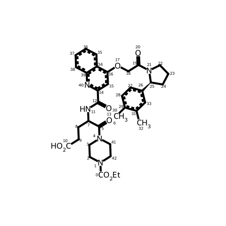 CCOC(=O)N1CCN(C(=O)C(CCC(=O)O)NC(=O)c2cc(OCC(=O)N3CCC[C@H]3c3ccc(C)c(C)c3)c3ccccc3n2)CC1